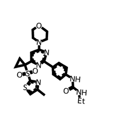 CCNC(=O)Nc1ccc(-c2nc(N3CCOCC3)cc(C3(S(=O)(=O)c4nc(C)cs4)CC3)n2)cc1